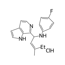 CC/C(C)=C\C(Nc1ccc(F)cc1)c1nccc2cc[nH]c12.Cl